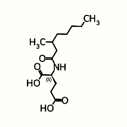 CCCCCC(C)CC(=O)N[C@@H](CCC(=O)O)C(=O)O